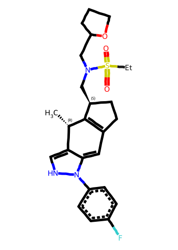 CCS(=O)(=O)N(CC1CCCO1)C[C@H]1CCC2=C1[C@@H](C)C1=CNN(c3ccc(F)cc3)C1=C2